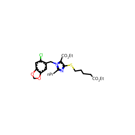 CCCc1nc(SCCCCC(=O)OCC)c(C(=O)OCC)n1Cc1cc2c(cc1Cl)OCO2